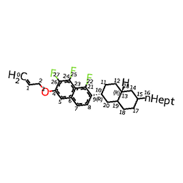 C=CCOc1cc2ccc([C@@H]3CC[C@@H]4CC(CCCCCCC)CCC4C3)c(F)c2c(F)c1F